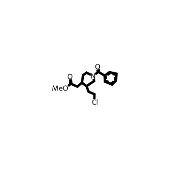 COC(=O)CC1CCN(C(=O)c2ccccc2)CC1CCCl